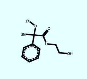 CCOC(C(=O)OCCO)(c1ccccc1)C(C)(C)C